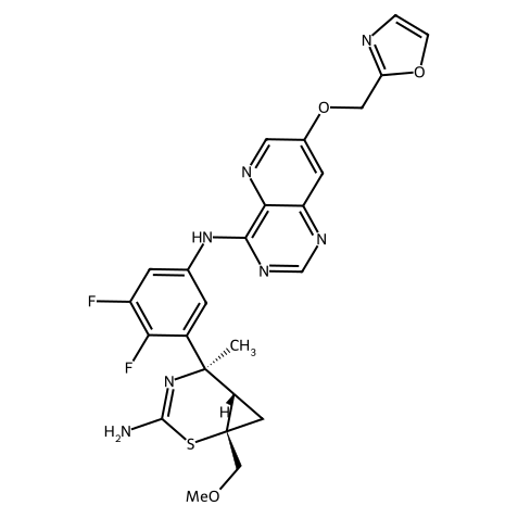 COC[C@]12C[C@H]1[C@](C)(c1cc(Nc3ncnc4cc(OCc5ncco5)cnc34)cc(F)c1F)N=C(N)S2